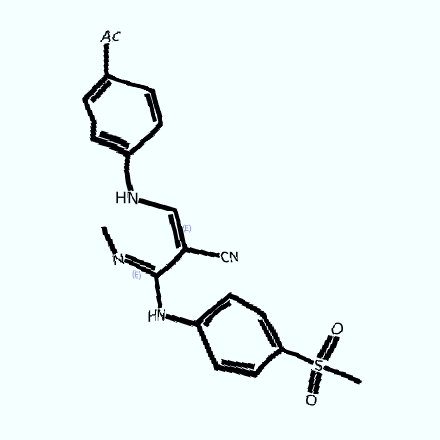 C/N=C(Nc1ccc(S(C)(=O)=O)cc1)\C(C#N)=C/Nc1ccc(C(C)=O)cc1